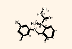 Cc1cc(Br)cc(OCc2c(C)cccc2N(N)C(=O)NN)c1